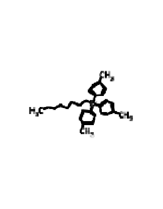 CCCCCCCC[B-](c1ccc(C)cc1)(c1ccc(C)cc1)c1ccc(C)cc1